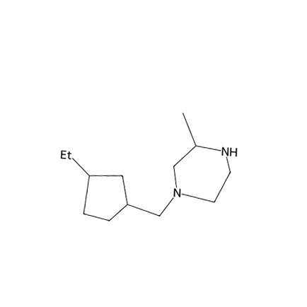 CCC1CCC(CN2CCNC(C)C2)C1